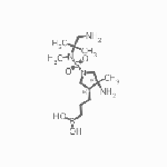 CN(C(C)(C)CN)S(=O)(=O)N1C[C@H](CCCB(O)O)[C@@](C)(N)C1